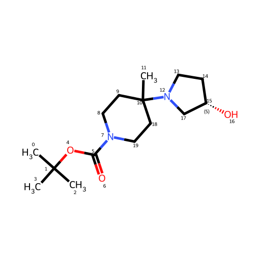 CC(C)(C)OC(=O)N1CCC(C)(N2CC[C@H](O)C2)CC1